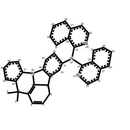 CC1(C)C2=C3C(CC=C2)c2cc(N(c4nccc5ccccc45)c4nccc5ccccc45)ccc2N3c2ccccc21